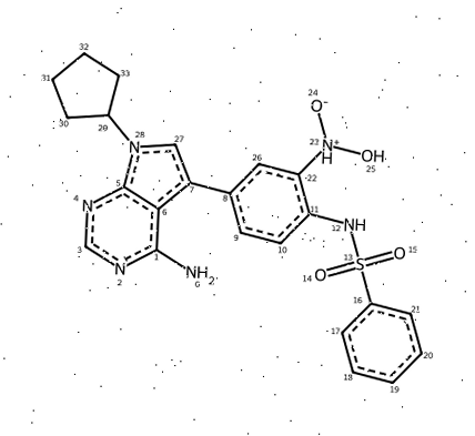 Nc1ncnc2c1c(-c1ccc(NS(=O)(=O)c3ccccc3)c([NH+]([O-])O)c1)cn2C1CCCC1